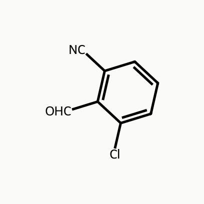 N#Cc1cccc(Cl)c1C=O